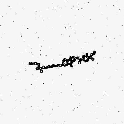 C=COC(=O)c1ccc(C(=O)Sc2ccc3c(c2)C(C)c2cc(OCCCCCCOC(=O)C(=C)COC)ccc2-3)cc1C